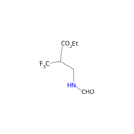 CCOC(=O)C(CNC=O)C(F)(F)F